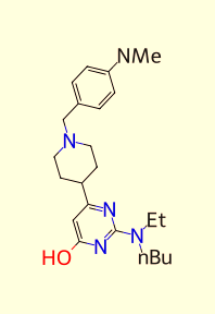 CCCCN(CC)c1nc(O)cc(C2CCN(Cc3ccc(NC)cc3)CC2)n1